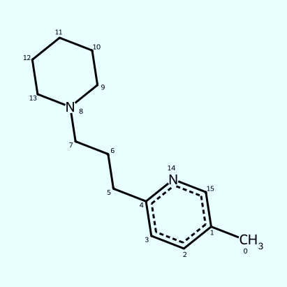 Cc1ccc(CCCN2CCCCC2)nc1